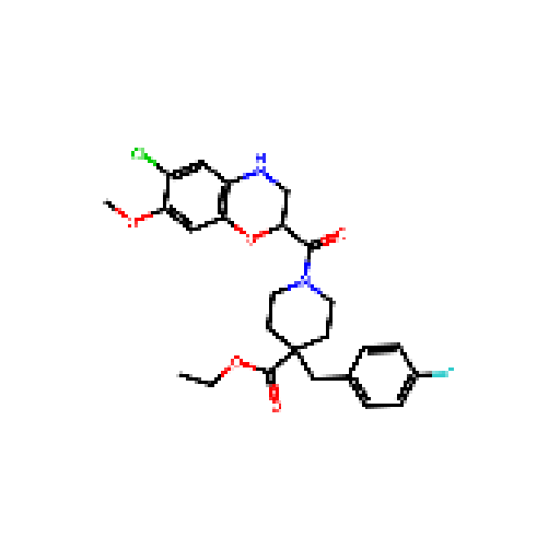 CCOC(=O)C1(Cc2ccc(F)cc2)CCN(C(=O)C2CNc3cc(Cl)c(OC)cc3O2)CC1